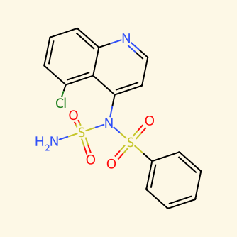 NS(=O)(=O)N(c1ccnc2cccc(Cl)c12)S(=O)(=O)c1ccccc1